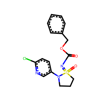 O=C(N=S1(=O)CCCN1c1ccc(Cl)nc1)OCc1ccccc1